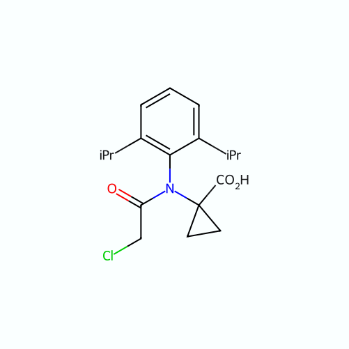 CC(C)c1cccc(C(C)C)c1N(C(=O)CCl)C1(C(=O)O)CC1